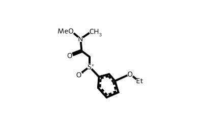 CCOc1cccc([S+]([O-])CC(=O)N(C)OC)c1